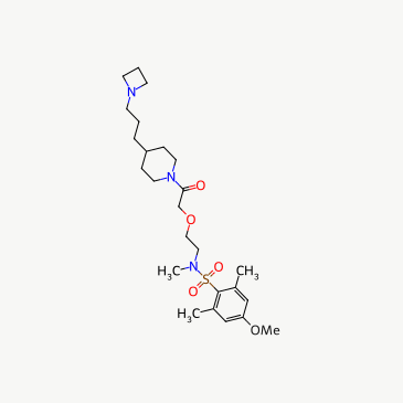 COc1cc(C)c(S(=O)(=O)N(C)CCOCC(=O)N2CCC(CCCN3CCC3)CC2)c(C)c1